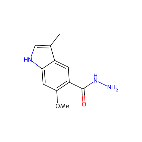 COc1cc2[nH]cc(C)c2cc1C(=O)NN